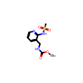 CC(C)(C)OC(=O)NCc1cccnc1NS(C)(=O)=O